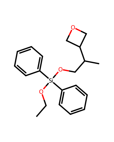 CCO[Si](OCC(C)C1COC1)(c1ccccc1)c1ccccc1